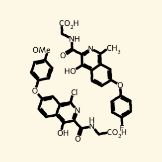 COc1ccc(Oc2ccc3c(O)c(C(=O)NCC(=O)O)nc(Cl)c3c2)cc1.Cc1nc(C(=O)NCC(=O)O)c(O)c2ccc(Oc3ccc(F)cc3)cc12